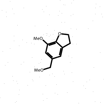 COCc1cc2c(c(OC)c1)OCC2